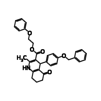 CC1=C(C(=O)OCCOc2ccccc2)C(c2ccc(OCc3ccccc3)cc2)C2=C(CCCC2=O)N1